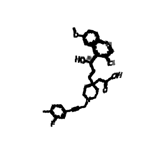 COc1ccc2ncc(Cl)c([C@H](O)CCC3(CC(=O)O)CCN(CC#Cc4ccc(C)c(F)c4)CC3)c2c1